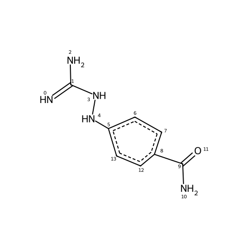 N=C(N)NNc1ccc(C(N)=O)cc1